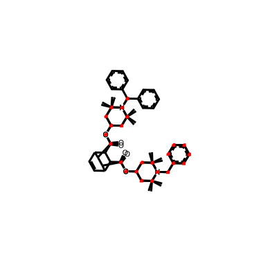 CC1(C)CC(OC(=O)C2C3C=CC(C2C(=O)OC2CC(C)(C)N(Cc4ccccc4)C(C)(C)C2)C(C(=O)OC2CC(C)(C)N(Cc4ccccc4)C(C)(C)C2)C3C(=O)OC2CC(C)(C)N(Cc3ccccc3)C(C)(C)C2)CC(C)(C)N1Cc1ccccc1